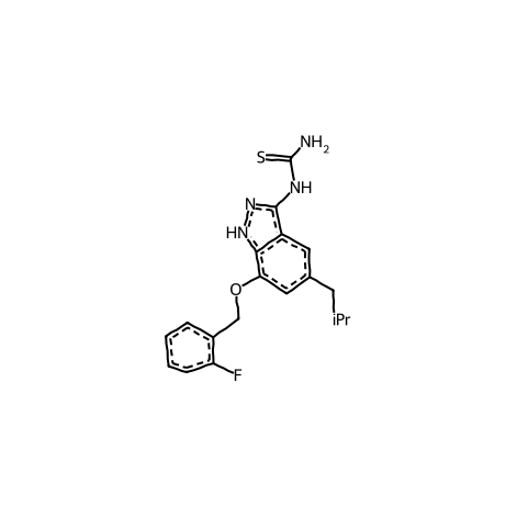 CC(C)Cc1cc(OCc2ccccc2F)c2[nH]nc(NC(N)=S)c2c1